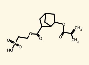 C=C(C)C(=O)OC1CC2CC(C(=O)OCCS(=O)(=O)O)C1C2